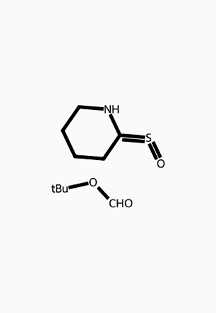 CC(C)(C)OC=O.O=S=C1CCCCN1